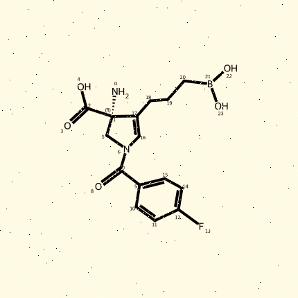 N[C@@]1(C(=O)O)CN(C(=O)c2ccc(F)cc2)C=C1CCCB(O)O